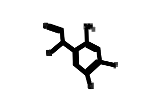 Nc1cc(F)c(Cl)cc1C(Cl)C=O